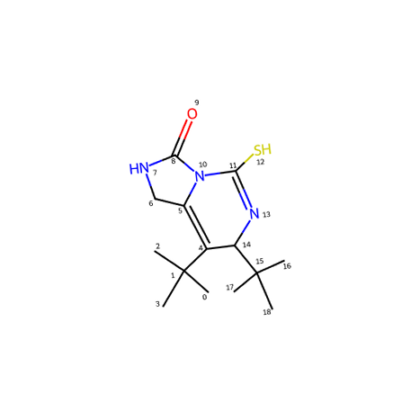 CC(C)(C)C1=C2CNC(=O)N2C(S)=NC1C(C)(C)C